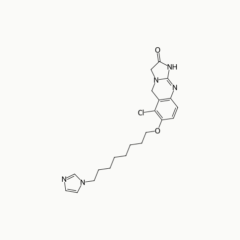 O=C1CN2Cc3c(ccc(OCCCCCCCCn4ccnc4)c3Cl)N=C2N1